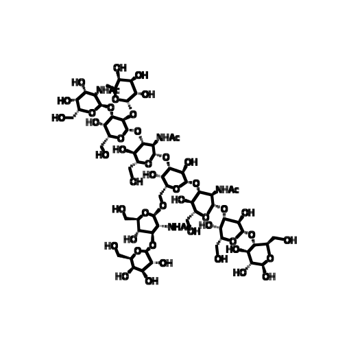 CC(=O)N[C@H]1[C@@H](O[C@H]2[C@@H](O)[C@@H](CO)O[C@@H](O[C@H]3[C@H](O)[C@@H](CO)O[C@@H](O[C@H]4[C@@H](O)[C@@H](CO[C@@H]5O[C@H](CO)[C@@H](O)[C@H](O[C@@H]6O[C@H](CO)[C@H](O)[C@H](O)[C@H]6O)[C@H]5NC(C)=O)O[C@@H](O[C@H]5[C@H](O)[C@@H](CO)O[C@@H](O[C@H]6[C@@H](O)[C@@H](CO)O[C@@H](O[C@H]7[C@H](O)[C@@H](O)[C@H](O)O[C@@H]7CO)[C@@H]6O)[C@@H]5NC(C)=O)[C@@H]4O)[C@@H]3NC(C)=O)[C@@H]2O[C@@H]2O[C@@H](C)[C@@H](O)[C@@H](O)[C@@H]2O)O[C@H](CO)[C@H](O)[C@@H]1O